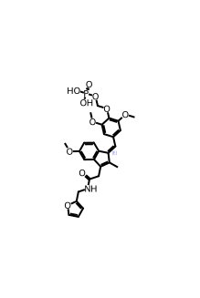 COc1ccc2c(c1)C(CC(=O)NCc1ccco1)=C(C)/C2=C/c1cc(OC)c(OCOP(=O)(O)O)c(OC)c1